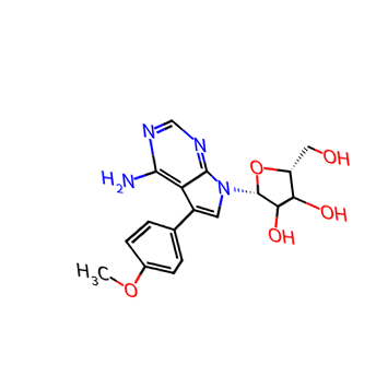 COc1ccc(-c2cn([C@@H]3O[C@H](CO)C(O)C3O)c3ncnc(N)c23)cc1